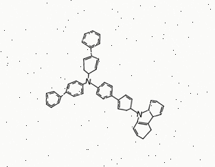 C1=CC2C3=C(C=CCC3)N(C3C=CC(c4ccc(N(c5ccc(-c6ccccc6)cc5)C5C=CC(c6ccccc6)=CC5)cc4)=CC3)C2C=C1